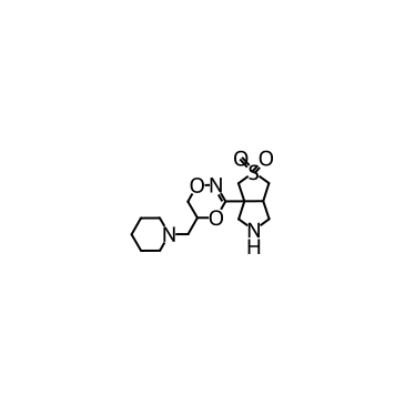 O=S1(=O)CC2CNCC2(C2=NOCC(CN3CCCCC3)O2)C1